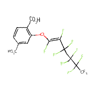 O=C(O)c1ccc(C(=O)O)c(OC(F)=C(F)C(F)(F)C(F)(F)C(F)(F)C(F)(F)F)c1